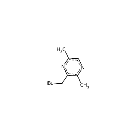 CCC(C)Cc1nc(C)cnc1C